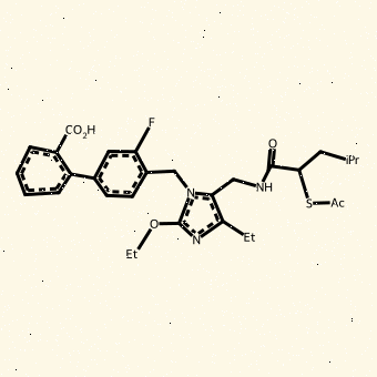 CCOc1nc(CC)c(CNC(=O)C(CC(C)C)SC(C)=O)n1Cc1ccc(-c2ccccc2C(=O)O)cc1F